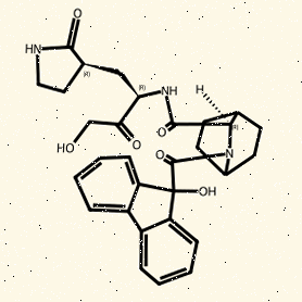 O=C1NCC[C@@H]1C[C@@H](NC(=O)[C@H]1C2CCC(CC2)N1C(=O)C1(O)c2ccccc2-c2ccccc21)C(=O)CO